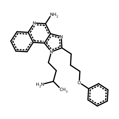 CC(N)CCn1c(CCCOc2ccccc2)nc2c(N)nc3ccccc3c21